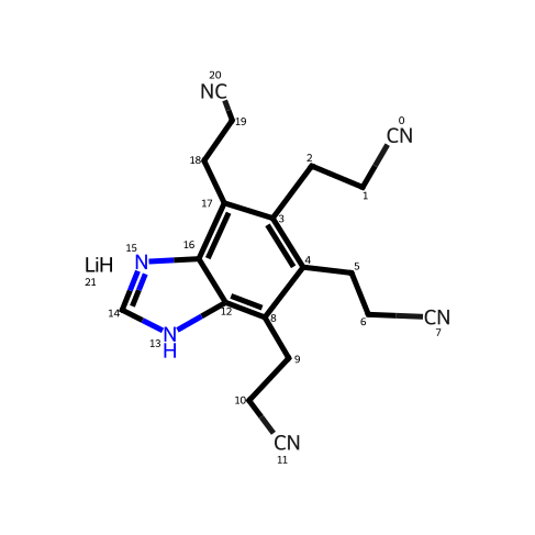 N#CCCc1c(CCC#N)c(CCC#N)c2[nH]cnc2c1CCC#N.[LiH]